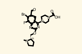 CN1CCC[C@H]1COc1nc(N2CCN(C(=O)O)CC2)c2cc(C=O)c(Br)c(F)c2n1